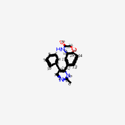 Cc1ncc(-c2ccccc2)c(-c2ccc3c(c2)NC(=O)CO3)n1